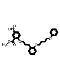 COC(=O)c1cc([N+](=O)[O-])ccc1OCCCc1ccccc1OCCCCOc1ccccc1